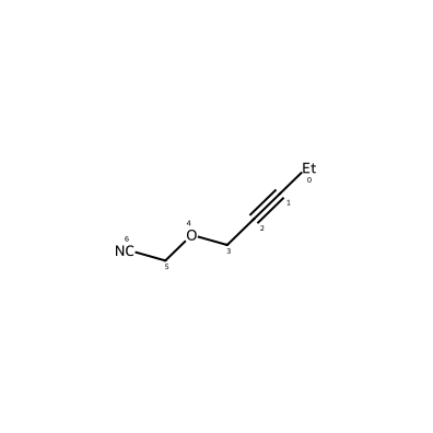 CCC#CCOCC#N